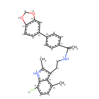 C=C(NCCc1c(C)[nH]c2c(F)ccc(C)c12)c1ccc(-c2ccc3c(c2)OCO3)cc1